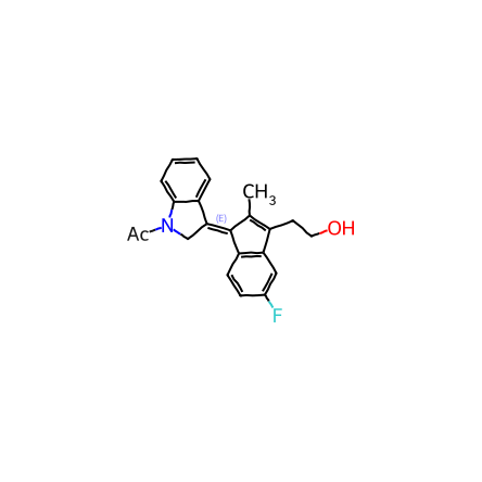 CC(=O)N1C/C(=C2/C(C)=C(CCO)c3cc(F)ccc32)c2ccccc21